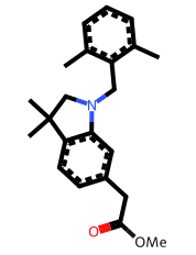 COC(=O)Cc1ccc2c(c1)N(Cc1c(C)cccc1C)CC2(C)C